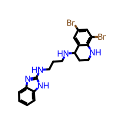 Brc1cc(Br)c2c(c1)C(NCCCNc1nc3ccccc3[nH]1)CCN2